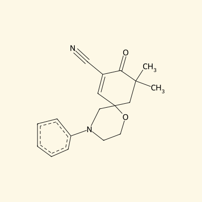 CC1(C)CC2(C=C(C#N)C1=O)CN(c1ccccc1)CCO2